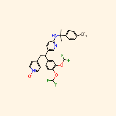 CC(C)(Nc1ccc(C(Cc2cc[n+]([O-])cc2)c2ccc(OC(F)F)c(OC(F)F)c2)cn1)c1ccc(C(F)(F)F)cc1